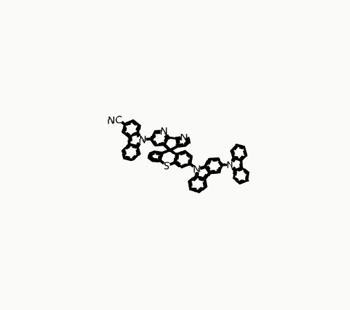 N#Cc1ccc2c(c1)c1ccccc1n2-c1cnc2c(c1)C1(c3ccccc3Sc3cc(-n4c5ccccc5c5cc(-n6c7ccccc7c7ccccc76)ccc54)ccc31)c1cccnc1-2